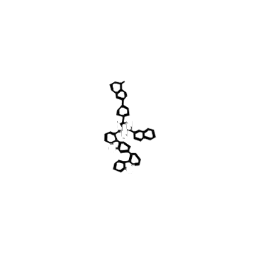 CC1CC=Cc2cc(-c3ccc(C4=NC(C5=CC=CC6Oc7cc(-c8cccc9oc%10ccccc%10c89)ccc7C56)N(C)C(c5ccc6ccccc6c5)=N4)cc3)ccc21